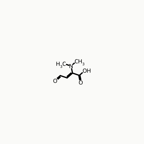 CN(C)/C(=C\C=O)C(=O)O